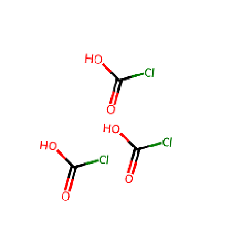 O=C(O)Cl.O=C(O)Cl.O=C(O)Cl